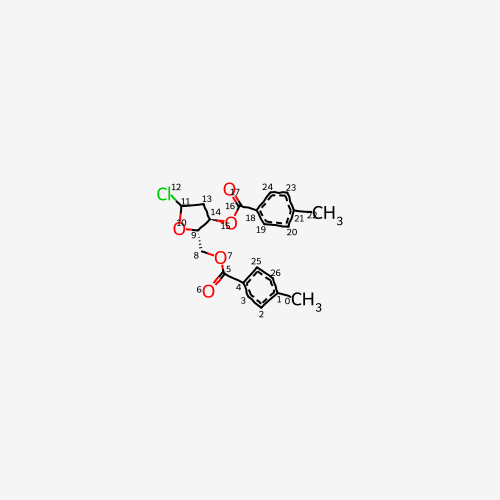 Cc1ccc(C(=O)OC[C@@H]2OC(Cl)C[C@H]2OC(=O)c2ccc(C)cc2)cc1